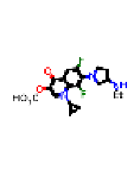 CCNC1CCN(c2c(F)cc3c(=O)c(OC(=O)O)cn(C4CC4)c3c2F)C1